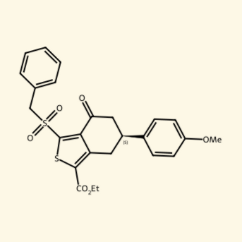 CCOC(=O)c1sc(S(=O)(=O)Cc2ccccc2)c2c1C[C@H](c1ccc(OC)cc1)CC2=O